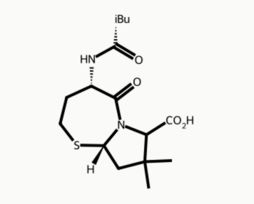 CC[C@@H](C)C(=O)N[C@H]1CCS[C@H]2CC(C)(C)C(C(=O)O)N2C1=O